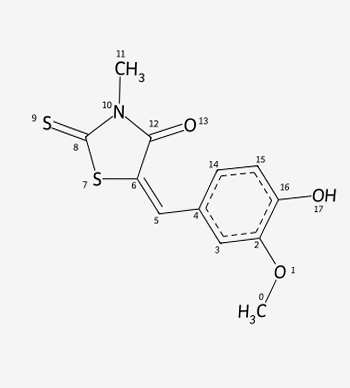 COc1cc(C=C2SC(=S)N(C)C2=O)ccc1O